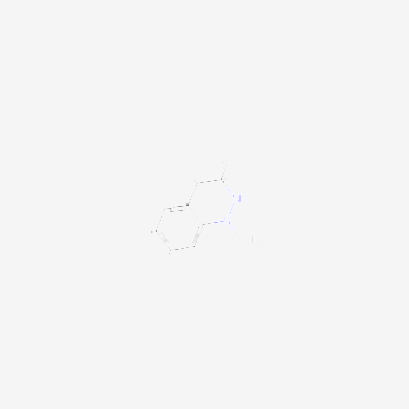 CN1NC(Cl)Cc2ccccc21